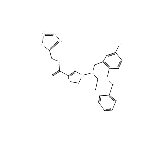 CCN(Cc1cc(Br)ccc1OCc1ccccc1)N1C=C(C(=O)NCc2nnn[nH]2)SC1